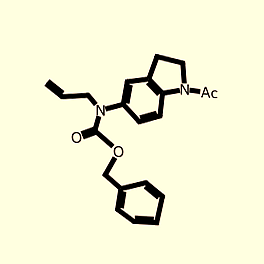 C=CCN(C(=O)OCc1ccccc1)c1ccc2c(c1)CCN2C(C)=O